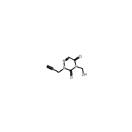 C#CCn1ncc(=O)n(CO)c1=O